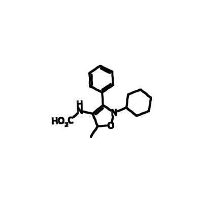 CC1ON(C2CCCCC2)C(c2ccccc2)=C1NC(=O)O